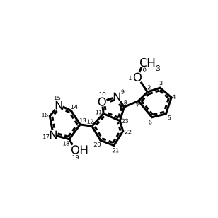 COc1ccccc1-c1noc2c(-c3cncnc3O)cccc12